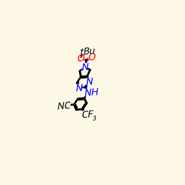 CC(C)(C)OC(=O)N1Cc2cnc(Nc3cc(C#N)cc(C(F)(F)F)c3)nc2C1